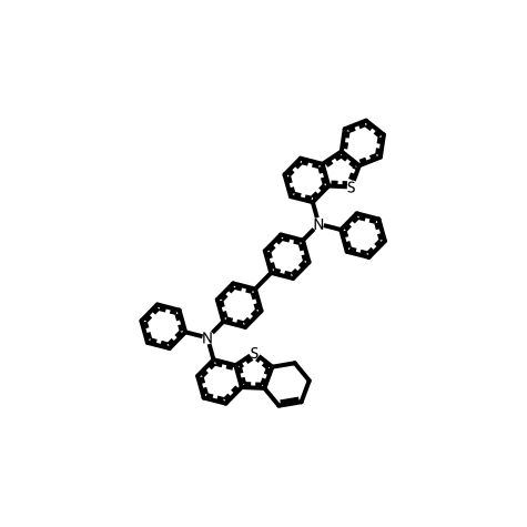 C1=Cc2c(sc3c(N(c4ccccc4)c4ccc(-c5ccc(N(c6ccccc6)c6cccc7c6sc6ccccc67)cc5)cc4)cccc23)CC1